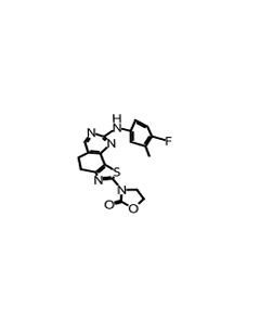 Cc1cc(Nc2ncc3c(n2)-c2sc(N4CCOC4=O)nc2CC3)ccc1F